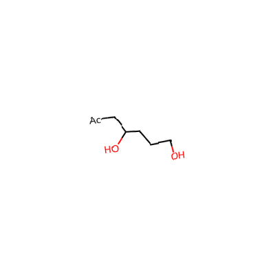 CC(=O)CC(O)CCCO